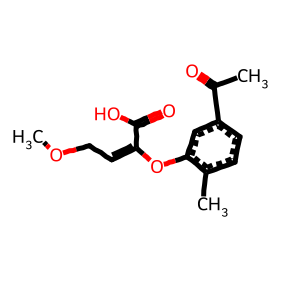 COCC=C(Oc1cc(C(C)=O)ccc1C)C(=O)O